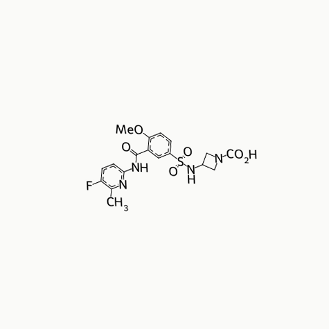 COc1ccc(S(=O)(=O)NC2CN(C(=O)O)C2)cc1C(=O)Nc1ccc(F)c(C)n1